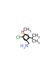 COc1cc(C(C)C)c(CN)cc1Cl